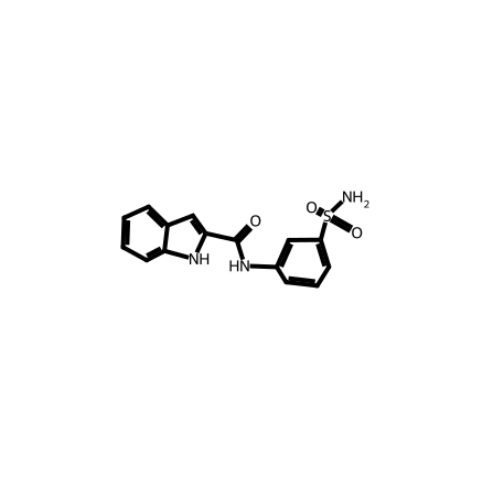 NS(=O)(=O)c1cccc(NC(=O)c2cc3ccccc3[nH]2)c1